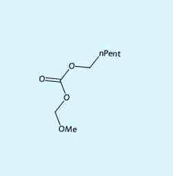 CCCCCCOC(=O)OCOC